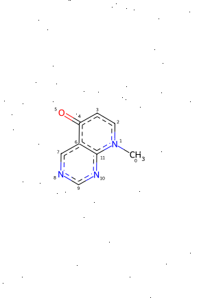 Cn1ccc(=O)c2cncnc21